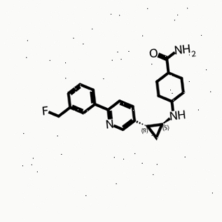 NC(=O)C1CCC(N[C@H]2C[C@@H]2c2ccc(-c3cccc(CF)c3)nc2)CC1